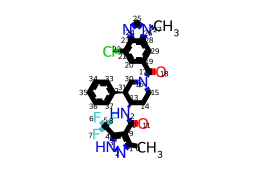 Cc1n[nH]c(C(F)(F)F)c1C(=O)N[C@@H]1CCN(C(=O)c2cc(Cl)c3ncn(C)c3c2)C[C@@H]1c1ccccc1